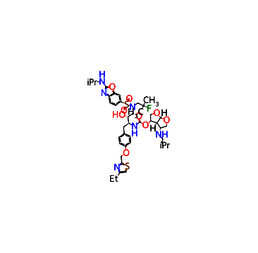 CCc1csc(COc2ccc(C[C@H](NC(=O)O[C@H]3CO[C@H]4OC[C@H](NCC(C)C)[C@H]43)[C@H](O)CN(CC(C)(C)F)S(=O)(=O)c3ccc4nc(NC(C)C)oc4c3)cc2)n1